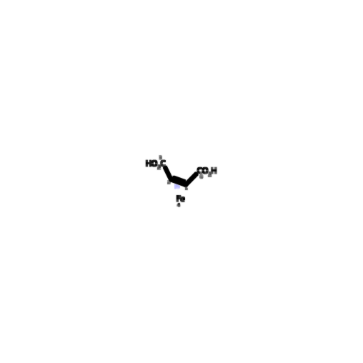 O=C(O)/C=C\C(=O)O.[Fe]